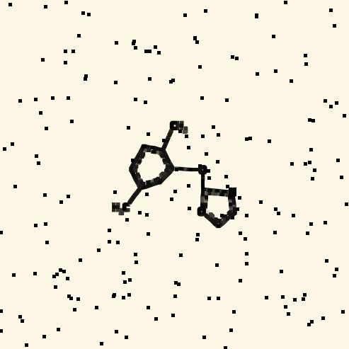 Cc1ccc(C)c(Oc2ncco2)c1